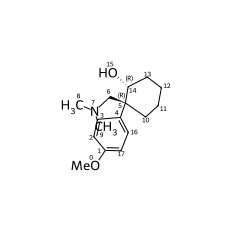 COc1ccc([C@@]2(CN(C)C)CCCC[C@H]2O)cc1